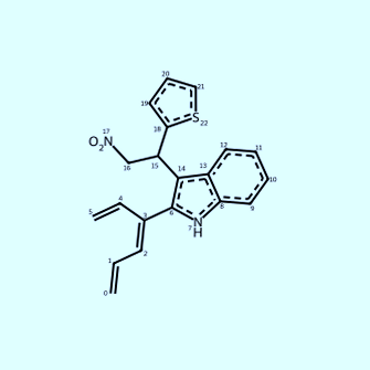 C=C/C=C(\C=C)c1[nH]c2ccccc2c1C(C[N+](=O)[O-])c1cccs1